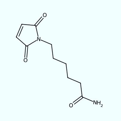 NC(=O)CCCCCN1C(=O)C=CC1=O